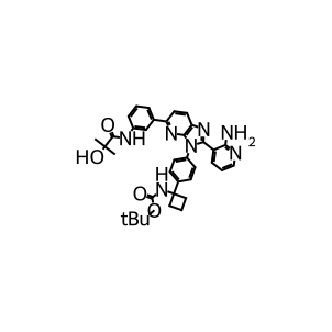 CC(C)(C)OC(=O)NC1(c2ccc(-n3c(-c4cccnc4N)nc4ccc(-c5cccc(NC(=O)C(C)(C)O)c5)nc43)cc2)CCC1